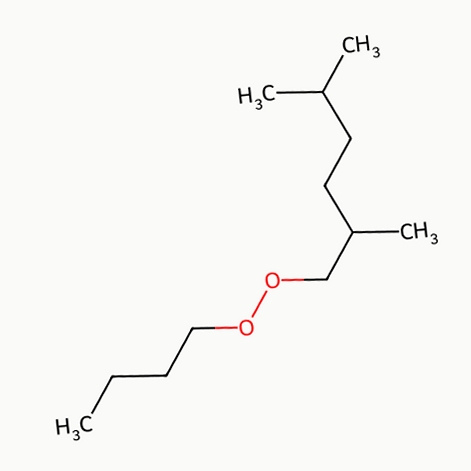 CCCCOOCC(C)CCC(C)C